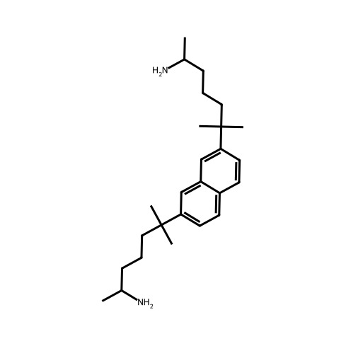 CC(N)CCCC(C)(C)c1ccc2ccc(C(C)(C)CCCC(C)N)cc2c1